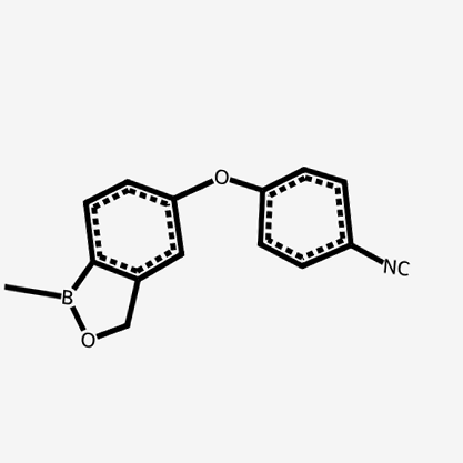 [C-]#[N+]c1ccc(Oc2ccc3c(c2)COB3C)cc1